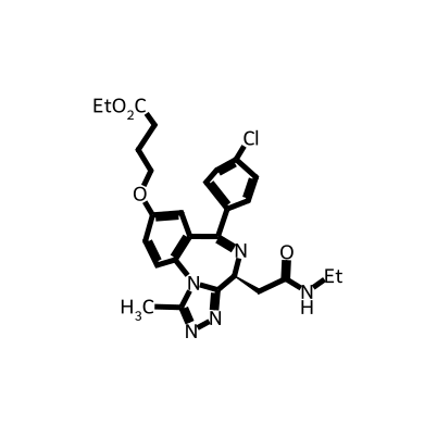 CCNC(=O)C[C@@H]1N=C(c2ccc(Cl)cc2)c2cc(OCCCC(=O)OCC)ccc2-n2c(C)nnc21